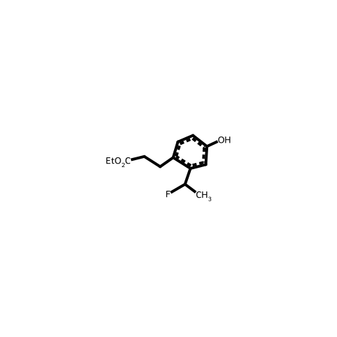 CCOC(=O)CCc1ccc(O)cc1C(C)F